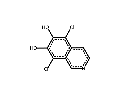 Oc1c(O)c(Cl)c2cnccc2c1Cl